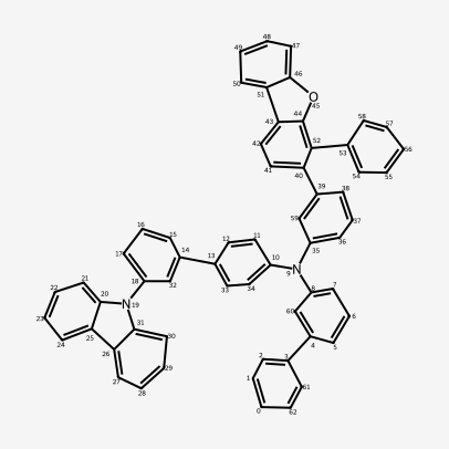 c1ccc(-c2cccc(N(c3ccc(-c4cccc(-n5c6ccccc6c6ccccc65)c4)cc3)c3cccc(-c4ccc5c(oc6ccccc65)c4-c4ccccc4)c3)c2)cc1